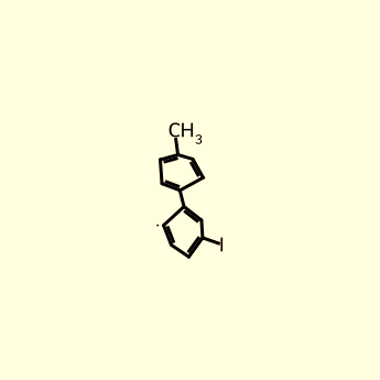 Cc1ccc(-c2[c]ccc(I)c2)cc1